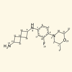 CC1CN(c2ccc(NC3CC4(CC(N)C4)C3)cc2F)CC(C)O1